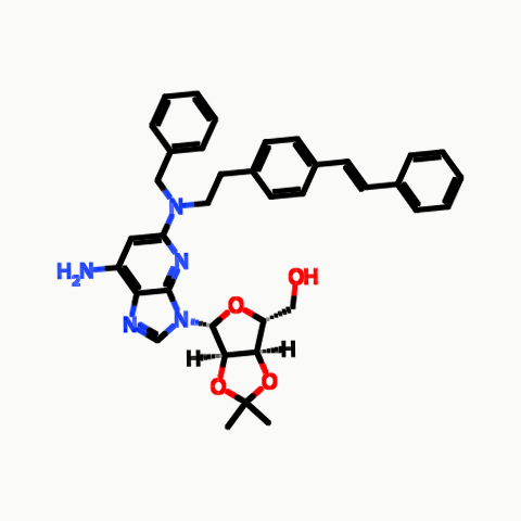 CC1(C)O[C@@H]2[C@H](O1)[C@@H](CO)O[C@H]2n1cnc2c(N)cc(N(CCc3ccc(C=Cc4ccccc4)cc3)Cc3ccccc3)nc21